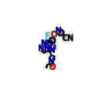 C=CC(=O)N1CCC(c2nc(-c3ccc(Oc4cc(C#N)ccn4)c(F)c3)n3c(N)nccc23)C1